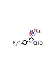 CCOc1noc(C2CC(c3ccc(CC(F)(F)F)cc3)CN(C=O)C2)n1